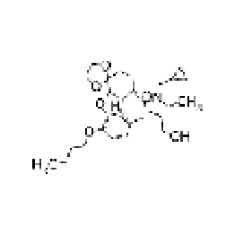 CCCCOc1ccc2c3c1O[C@@H]1C3[C@@](OCCCO)(CCC13OCCO3)[C@H](N(CC)CC1CC1)C2